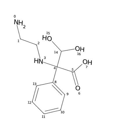 NCCNC(C(=O)O)(c1ccccc1)C(O)O